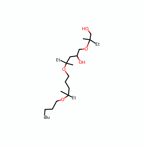 CCC(C)CCCOC(C)(CC)CCCOC(C)(CC)CC(O)COC(C)(CC)CO